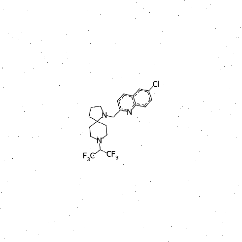 FC(F)(F)C(N1CCC2(CCCN2Cc2ccc3cc(Cl)ccc3n2)CC1)C(F)(F)F